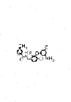 Cn1cnc(C(=O)NCc2ccc(Cl)c(Oc3cc(N)cc(Cl)c3)c2F)c1